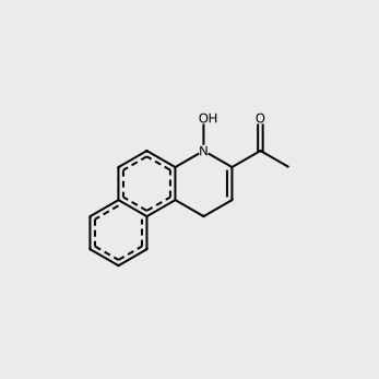 CC(=O)C1=CCc2c(ccc3ccccc23)N1O